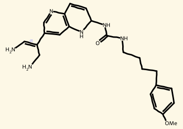 COc1ccc(CCCCNC(=O)NC2C=Cc3ncc(/C(=C/N)CN)cc3N2)cc1